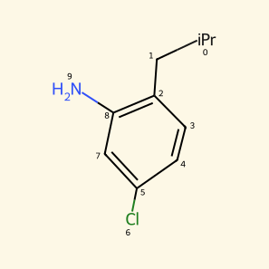 CC(C)Cc1ccc(Cl)cc1N